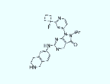 CC(C)n1c(=O)c2cnc(Nc3ccc4c(c3)CCNC4)nc2n1-c1ccnc(C2(F)CCC2)c1